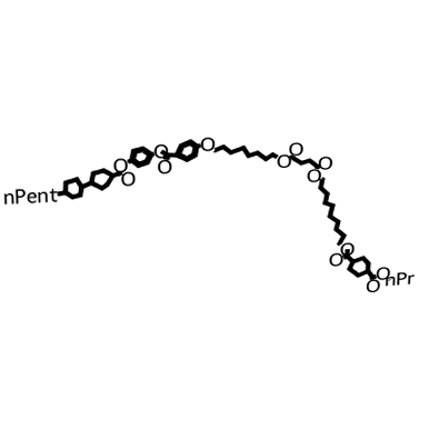 CCCCCC1CCC(C2CCC(C(=O)Oc3ccc(OC(=O)c4ccc(OCCCCCCCCOC(=O)CCC(=O)OCCCCCCCCCCOC(=O)C5CCC(C(=O)OCCC)CC5)cc4)cc3)CC2)CC1